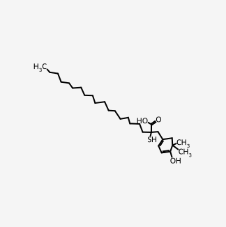 CCCCCCCCCCCCCCCCCCC(S)(CC1=CC=C(O)C(C)(C)C1)C(=O)O